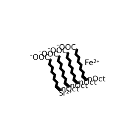 CCCCCCCC/C=C\CCCCCCCC(=O)[O-].CCCCCCCC/C=C\CCCCCCCC(=O)[O-].CCCCCCCC/C=C\CCCCCCCC(=O)[O-].CCCCCCCC/C=C\CCCCCCCC(=O)[O-].[Fe+2].[Sr+2]